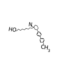 CCc1ccc(-c2ccc(C3CCCC(C#N)(CCCCCCCCCO)C3)cc2)cc1